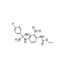 BC(B)(Nc1ccc(NC(=O)OCC)c([N+](=O)[O-])c1)c1ccc(F)cc1